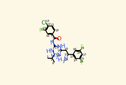 CC(C)CN/C(=N/C(=O)c1ccc(Cl)c(F)c1)NC(N)CC(N)c1cc(F)cc(F)c1